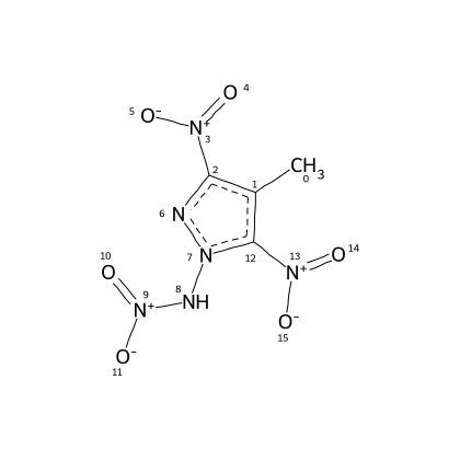 Cc1c([N+](=O)[O-])nn(N[N+](=O)[O-])c1[N+](=O)[O-]